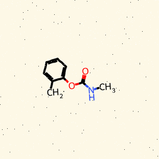 [CH2]c1ccccc1OC(=O)NC